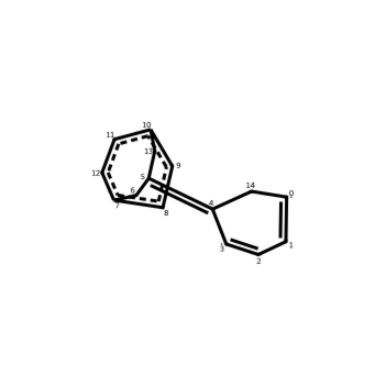 [C]1=CC=[C]C(=C2Cc3ccc(cc3)C2)C1